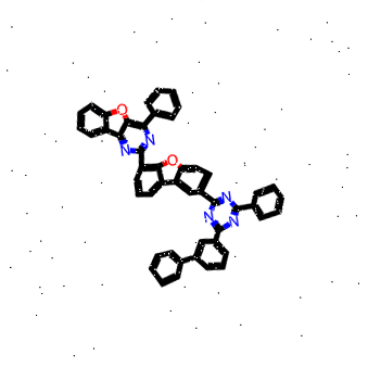 c1ccc(-c2cccc(-c3nc(-c4ccccc4)nc(-c4ccc5oc6c(-c7nc(-c8ccccc8)c8oc9ccccc9c8n7)cccc6c5c4)n3)c2)cc1